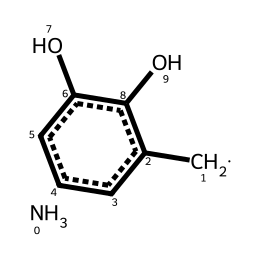 N.[CH2]c1cccc(O)c1O